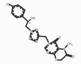 CN1C(=O)COc2ncn(Cc3nnn(C[C@H](O)c4ccc(Cl)cc4)n3)c(=O)c21